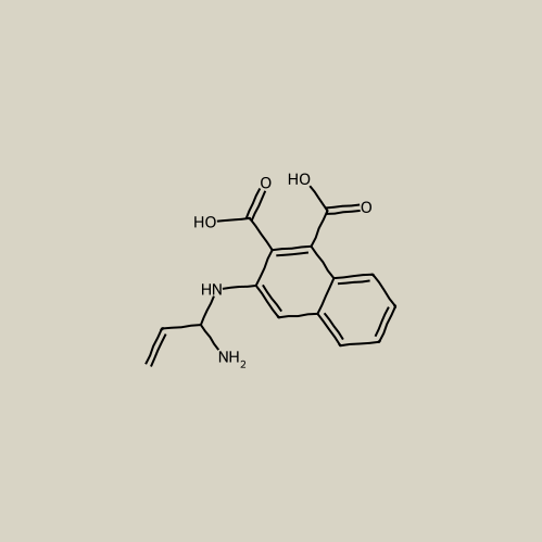 C=CC(N)Nc1cc2ccccc2c(C(=O)O)c1C(=O)O